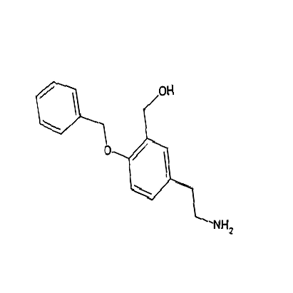 NCCc1ccc(OCc2ccccc2)c(CO)c1